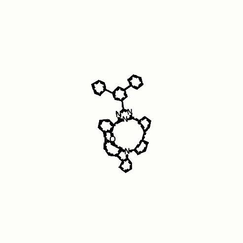 c1ccc(-c2cc(-c3ccccc3)cc(-c3nc4nc(n3)c3cccc5c6ccc7c8ccccc8n(c8cccc(c8)c8cccc4c8)c7c6oc35)c2)cc1